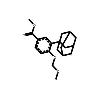 COCOc1ccc(C(=O)OC)cc1C12CC3CC(CC(C3)C1)C2